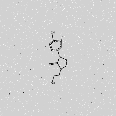 N#Cc1ccc(N2CCN(CCO)C2=O)cc1